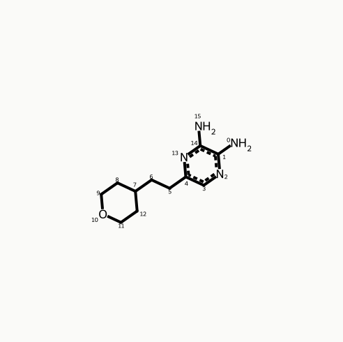 Nc1ncc(CCC2CCOCC2)nc1N